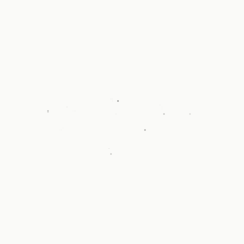 C=CCC1(COc2ccccc2)C(O)C2(C(C)=NOC)CCN1CC2